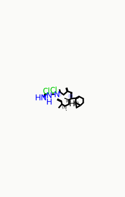 C=CC(C)[C@@H](C)C[C@@H](C)/C(=C\C(=C)C/C(C)=N/C(Cl)NC(=N)Cl)C1=CCCC2C[C@@H]12